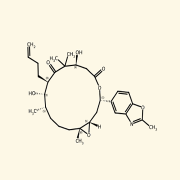 C=CCC[C@H]1C(=O)C(C)(C)[C@@H](O)CC(=O)O[C@H](c2ccc3oc(C)nc3c2)C[C@@H]2O[C@]2(C)CCC[C@H](C)[C@@H]1O